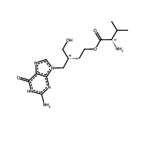 CC(C)[C@H](N)C(=O)OCC[C@@H](CO)Cn1cnc2c(=O)[nH]c(N)nc21